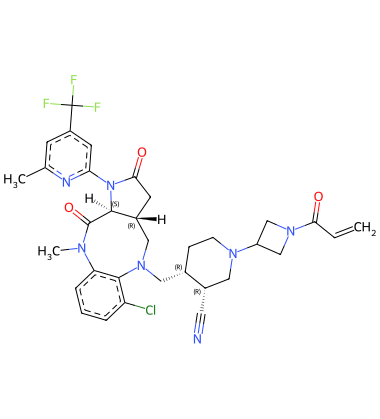 C=CC(=O)N1CC(N2CC[C@@H](CN3C[C@H]4CC(=O)N(c5cc(C(F)(F)F)cc(C)n5)[C@@H]4C(=O)N(C)c4cccc(Cl)c43)[C@@H](C#N)C2)C1